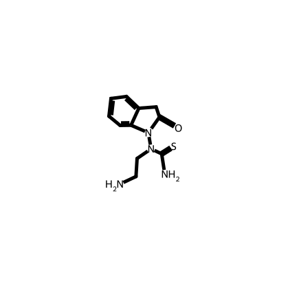 NCCN(C(N)=S)N1C(=O)Cc2ccccc21